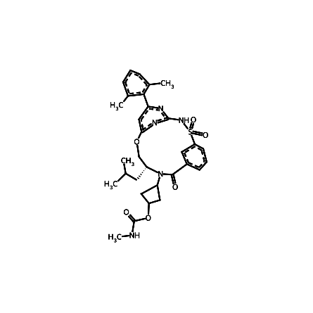 CNC(=O)OC1CC(N2C(=O)c3cccc(c3)S(=O)(=O)Nc3nc(cc(-c4c(C)cccc4C)n3)OC[C@H]2CC(C)C)C1